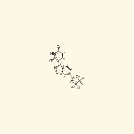 CC1(C)OB(c2ccc3c(C4CCC(=O)NC4=O)noc3c2)OC1(C)C